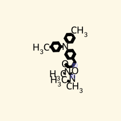 Cc1ccc(N(c2ccc(C)cc2)c2ccc(/C=C3/O/C(=N/C(C)C)N(C)C3=O)cc2)cc1